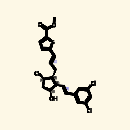 COC(=O)c1ccc(/C=C/C[C@@H]2[C@@H](/C=C/c3cc(Cl)cc(Cl)c3)[C@H](O)C[C@H]2Cl)s1